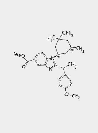 COC(=O)c1ccc2c(c1)nc(C(C)c1ccc(OC(F)(F)F)cc1)n2[C@@H]1C[C@H](C)CC(C)(C)C1